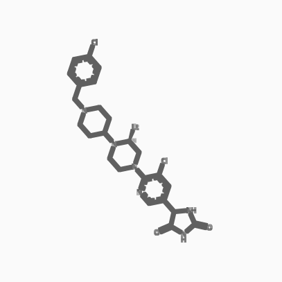 CC[C@H]1CN(c2ncc(C3NC(=O)NC3=O)cc2Cl)CCN1C1CCN(Cc2ccc(Cl)cc2)CC1